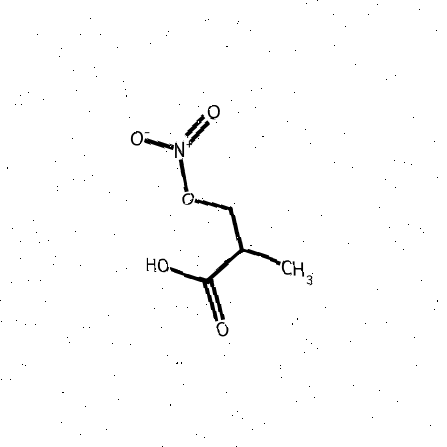 CC(CO[N+](=O)[O-])C(=O)O